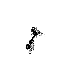 COc1cc(OC)c(F)c(C=Cc2cnc(Nc3c(C)cccc3[N+](=O)[O-])nc2)c1F